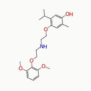 COc1cccc(OC)c1OCCNCCOc1cc(C)c(O)cc1C(C)C